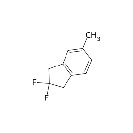 Cc1ccc2c(c1)CC(F)(F)C2